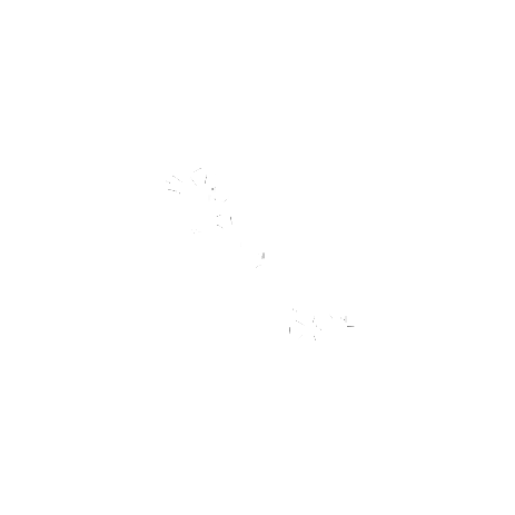 COc1cc(C(=O)N[C@@H]2CCc3ccc(-c4cn5c(n4)CCC5)cc32)cc(OCCCNC(=O)CCCCCCNc2cccc3c2C(=O)N(C2CCC(=O)NC2=O)C3=O)c1C